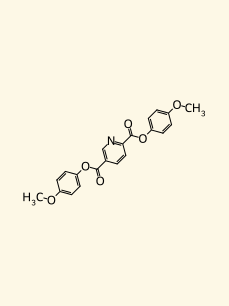 COc1ccc(OC(=O)c2ccc(C(=O)Oc3ccc(OC)cc3)nc2)cc1